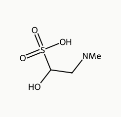 CNCC(O)S(=O)(=O)O